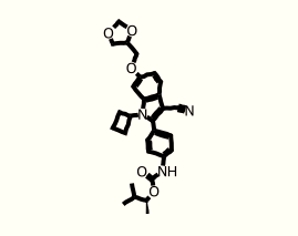 CC(C)[C@H](C)OC(=O)Nc1ccc(-c2c(C#N)c3ccc(OCC4COCO4)cc3n2C2CCC2)cc1